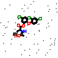 CB(O)NC(CC(C)C)C(=O)Oc1cc(Cl)ccc1Oc1ccc(Cl)cc1Cl